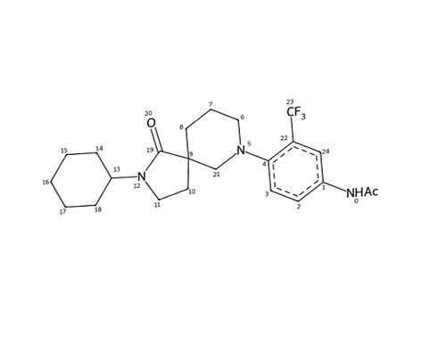 CC(=O)Nc1ccc(N2CCCC3(CCN(C4CCCCC4)C3=O)C2)c(C(F)(F)F)c1